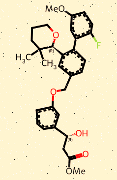 COC(=O)C[C@@H](O)c1cccc(OCc2ccc(-c3cc(OC)ccc3F)c([C@@H]3OCCCC3(C)C)c2)c1